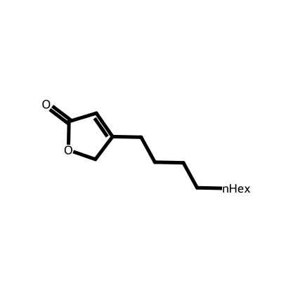 CCCCCCCCCCC1=CC(=O)OC1